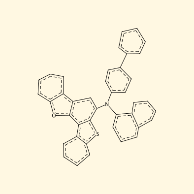 c1ccc(-c2ccc(N(c3cccc4ccccc34)c3cc4c5ccccc5oc4c4c3sc3ccccc34)cc2)cc1